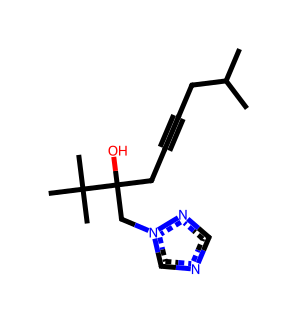 CC(C)CC#CCC(O)(Cn1cncn1)C(C)(C)C